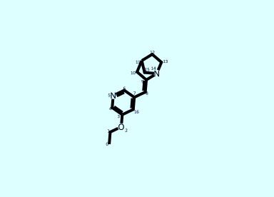 CCOc1cncc(C=C2CC3CCN2C3)c1